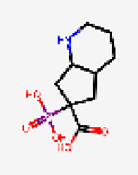 O=C(O)C1(P(=O)(O)O)CC2CCCNC2C1